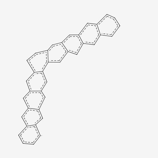 [c]1cccc2cc3cc4cc5ccc6cc7cc8cc9ccccc9cc8cc7cc6c5cc4cc3cc12